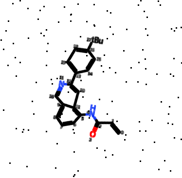 C=CC(=O)Nc1cccc2cnc(-c3ccc(C(C)(C)C)cc3)cc12